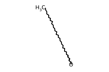 CCCCCCCCCCCCCCCCCCCCCCCCCCCCCC=CC=C[C]=O